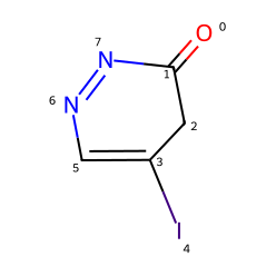 O=C1CC(I)=CN=N1